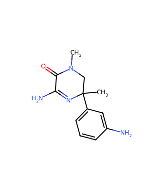 CN1CC(C)(c2cccc(N)c2)N=C(N)C1=O